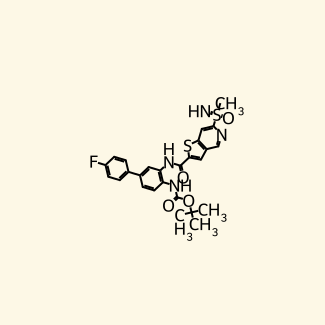 CC(C)(C)OC(=O)Nc1ccc(-c2ccc(F)cc2)cc1NC(=O)c1cc2cnc(S(C)(=N)=O)cc2s1